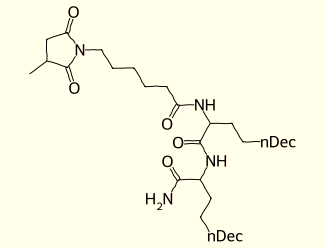 CCCCCCCCCCCCC(NC(=O)C(CCCCCCCCCCCC)NC(=O)CCCCCN1C(=O)CC(C)C1=O)C(N)=O